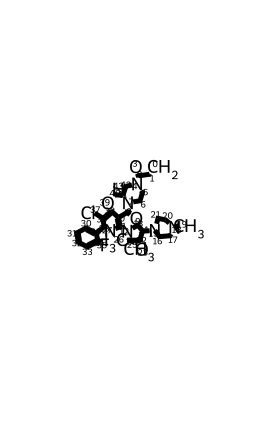 C=CC(=O)N1CCN2C(=O)c3c(N4CC(N5CCN(C)CC5)C(=O)C4(C)C)nc(-c4ccccc4F)c(Cl)c3OC[C@H]2C1